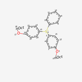 CCCCCCCCOc1ccc([S+](c2ccccc2)c2ccc(OCCCCCCCC)cc2)cc1